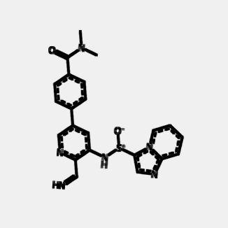 CN(C)C(=O)c1ccc(-c2cnc(C=N)c(N[S+]([O-])c3cnc4ccccn34)c2)cc1